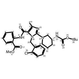 COC(=O)c1ccccc1NC(=O)c1c(I)nc(N2CCC[C@@H](NC(=O)OC(C)(C)C)C2)n1Cc1ccccc1Cl